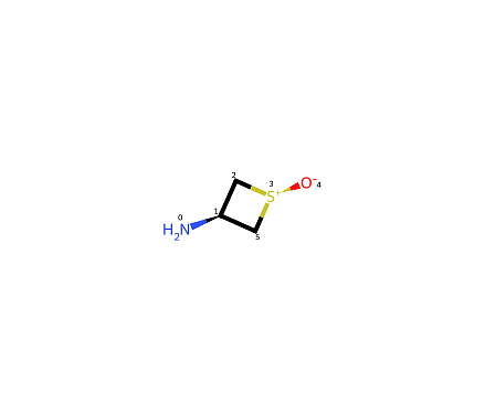 N[C@H]1C[S@@+]([O-])C1